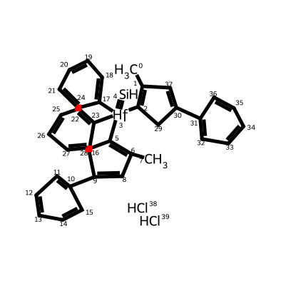 CC1=[C]([Hf](=[SiH2])([C]2=C(C)C=C(c3ccccc3)C2)([c]2ccccc2)[c]2ccccc2)CC(c2ccccc2)=C1.Cl.Cl